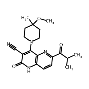 COC1(C)CCN(c2c(C#N)c(=O)[nH]c3ccc(C(=O)C(C)C)nc23)CC1